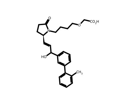 Cc1ccccc1-c1cccc(C(O)/C=C/[C@H]2CCC(=O)N2CCCCOCC(=O)O)c1